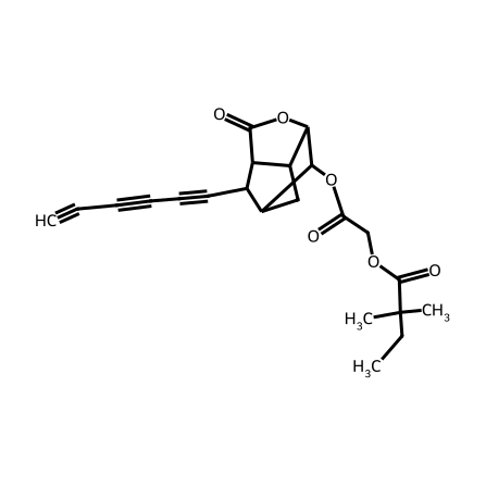 C#CC#CC#CC1C2CC3C(OC(=O)C13)C2OC(=O)COC(=O)C(C)(C)CC